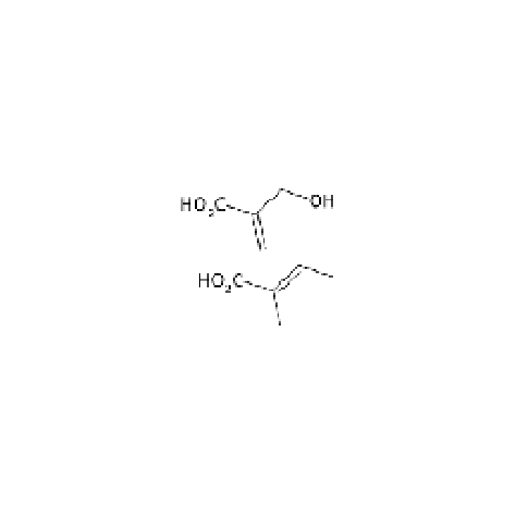 C=C(CO)C(=O)O.CC=C(C)C(=O)O